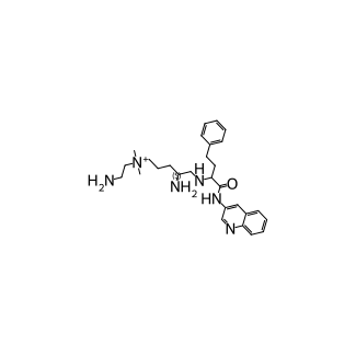 C[N+](C)(CCN)CCC[C@H](N)CNC(CCc1ccccc1)C(=O)Nc1cnc2ccccc2c1